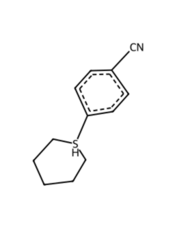 N#Cc1ccc([SH]2CCCCC2)cc1